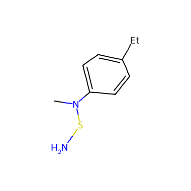 CCc1ccc(N(C)SN)cc1